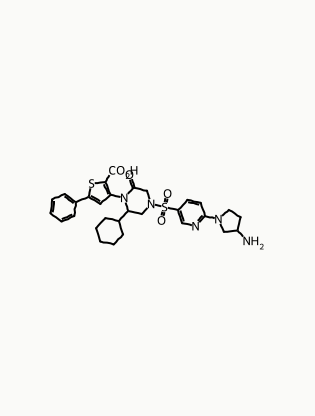 NC1CCN(c2ccc(S(=O)(=O)N3CC(=O)N(c4cc(-c5ccccc5)sc4C(=O)O)C(C4CCCCC4)C3)cn2)C1